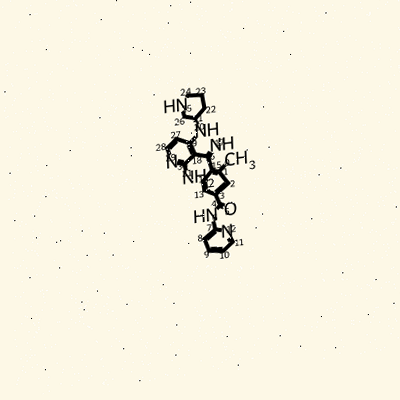 Cc1cc(C(=O)Nc2ccccn2)ccc1C(=N)c1c(N[C@@H]2CCCNC2)ccnc1N